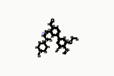 C=Nc1c(F)cc(-c2ccc(C=O)c(/N=C\N(C)C3CCN(C)CC3)c2)cc1OCC